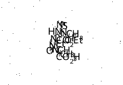 CCOC(=O)C1=C(CN2CCN3C(=O)N(CC(C)(C)C(=O)O)CC3(CC)C2)NC(c2nccs2)=NC1c1cccc(F)c1C